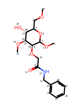 COCC1OC(OC)[C@@H](OCC(=O)NCc2ccccc2)[C@@H](OC)[C@@H]1O